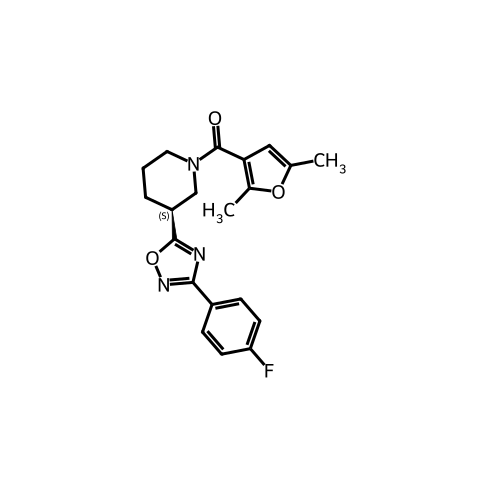 Cc1cc(C(=O)N2CCC[C@H](c3nc(-c4ccc(F)cc4)no3)C2)c(C)o1